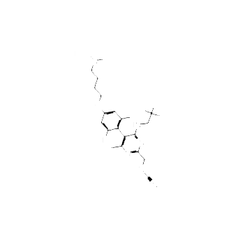 CN(C)CCCCOc1cc(F)c(-c2c(Cl)nc(CNC#N)nc2NCC(F)(F)F)c(F)c1